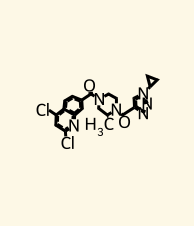 C[C@@H]1CN(C(=O)c2ccc3c(Cl)cc(Cl)nc3c2)CCN1C(=O)c1cn(C2CC2)nn1